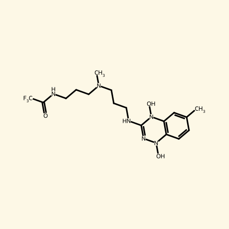 Cc1ccc2c(c1)N(O)C(NCCCN(C)CCCNC(=O)C(F)(F)F)=NN2O